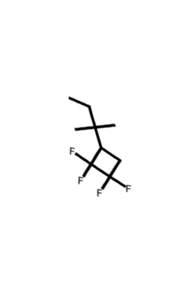 CCC(C)(C)C1CC(F)(F)C1(F)F